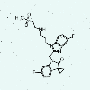 CS(=O)(=O)CCNCCCn1c(CN2C(=O)C3(CC3)c3ccc(F)cc32)nc2cc(F)ccc21